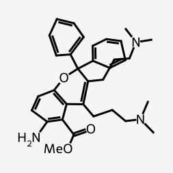 COC(=O)c1c(N)ccc2c1C(CCCN(C)C)=C(CCCN(C)C)C(c1ccccc1)(c1ccccc1)O2